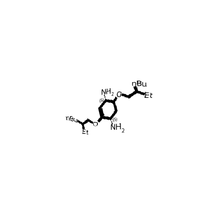 CCCCC(CC)COC1=C[C@H](N)C(OCC(CC)CCCC)C[C@@H]1N